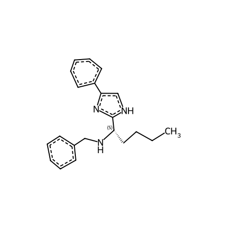 CCCC[C@H](NCc1ccccc1)c1nc(-c2ccccc2)c[nH]1